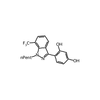 CCCCCn1nc(-c2ccc(O)cc2O)c2cccc(C(F)(F)F)c21